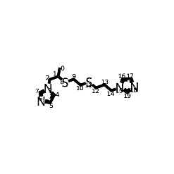 CC(Cn1ccnc1)SCCSCCCn1ccnc1